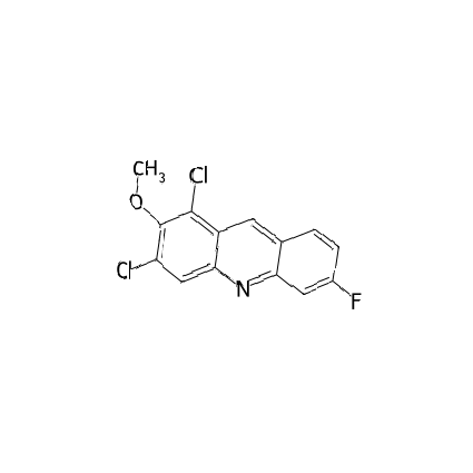 COc1c(Cl)cc2nc3cc(F)ccc3cc2c1Cl